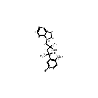 COc1ccc(F)cc1C(C)(C)CC(O)(CN1CCc2ccccc21)C(F)(F)F